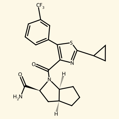 NC(=O)[C@@H]1C[C@@H]2CCC[C@@H]2N1C(=O)c1nc(C2CC2)sc1-c1cccc(C(F)(F)F)c1